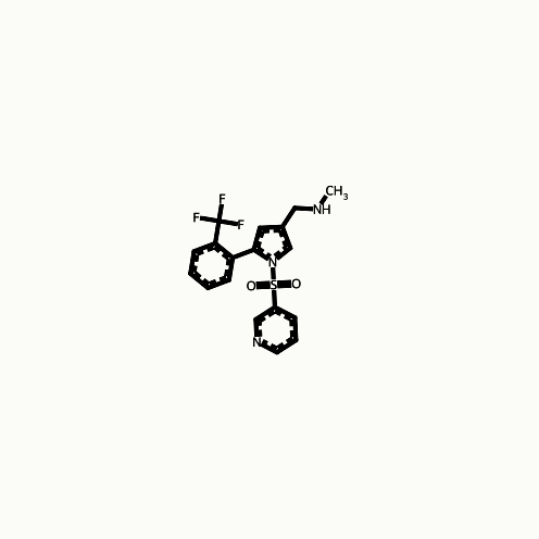 CNCc1cc(-c2ccccc2C(F)(F)F)n(S(=O)(=O)c2cccnc2)c1